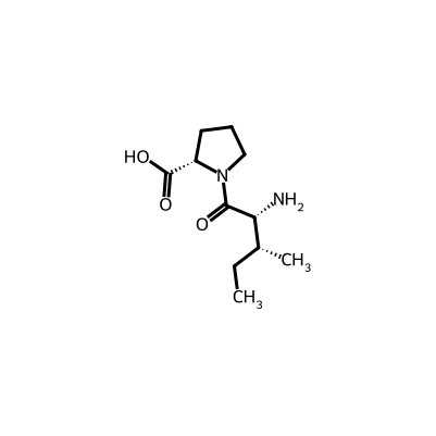 CC[C@@H](C)[C@@H](N)C(=O)N1CCC[C@H]1C(=O)O